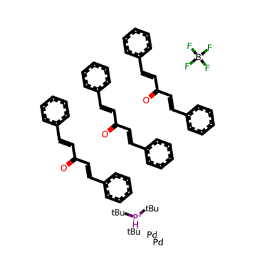 CC(C)(C)[PH+](C(C)(C)C)C(C)(C)C.F[B-](F)(F)F.O=C(C=Cc1ccccc1)C=Cc1ccccc1.O=C(C=Cc1ccccc1)C=Cc1ccccc1.O=C(C=Cc1ccccc1)C=Cc1ccccc1.[Pd].[Pd]